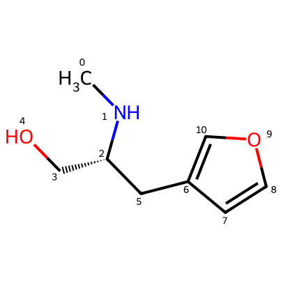 CN[C@@H](CO)Cc1ccoc1